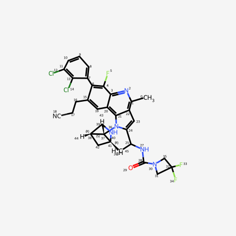 Cc1nc2c(F)c(-c3cccc(Cl)c3Cl)c(CCC#N)cc2c2c1cc(C(C)NC(=O)N1CC(F)(F)C1)n2[C@H]1[C@H]2CN[C@@H]1C2